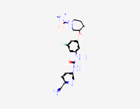 CN(C)C(=O)N1CCCC(Oc2cc(F)cc(NC(=O)Nc3ccc(C#N)nc3)c2)C1